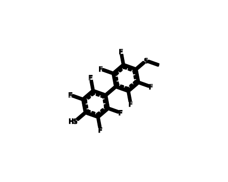 CSc1c(F)c(F)c(-c2c(F)c(F)c(S)c(F)c2F)c(F)c1F